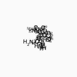 [2H]C([2H])([2H])NC(=O)c1cc(CN)cc(C)c1NC(=O)c1cc2c(cc1-c1ccc(C(=O)NCCC)nc1C(=O)OC)OCCc1ccsc1-2